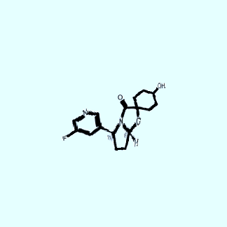 O=C1N2[C@@H](CC[C@H]2c2cncc(F)c2)OC12CCC(O)CC2